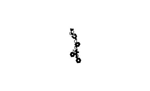 Cc1c(COc2cccc(OCC3CCN(C(=O)OC(C)(C)C)CC3)c2)nc2ccccc2c1OCc1ccccc1